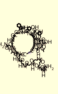 CC(=O)N[C@@H](CC(C)C)C(=O)N[C@H](C(=O)C(=O)[C@H](Cc1ccccc1)NN[C@]1(C)CCCCCC/C=C/CCC[C@@](C)(C(=O)CN[C@@H](C)C(=O)CCN[C@@H](C)C(=O)CCN[C@@H](C)C(=O)CCN[C@@H](C)C(=O)CCC(=O)[C@H](C)NCN[C@H](C)C(N)=O)NC(=O)[C@H](CC(C)C)NN[C@@H](CCC(N)=O)C(=O)CN[C@@H](C)C(=O)CC(=O)[C@H](Cc2c[nH]c3ccccc23)NN[C@@H](Cc2ccc(O)cc2)C(=O)N[C@@H](CCC(=O)O)C(=O)C1=O)[C@@H](C)O